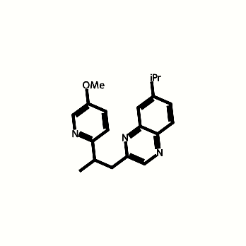 COc1ccc(C(C)Cc2cnc3ccc(C(C)C)cc3n2)nc1